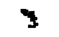 CNCc1ccc(-c2nc3cc(C(=O)NCCC(=O)OC)ccc3n2C)cc1.Cl.Cl